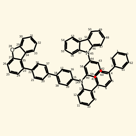 c1ccc(-c2ccc(-c3ccccc3N(c3ccc(-c4ccc(-c5cccc6oc7ccccc7c56)cc4)cc3)c3cccc(-n4c5ccccc5c5ccccc54)c3)cc2)cc1